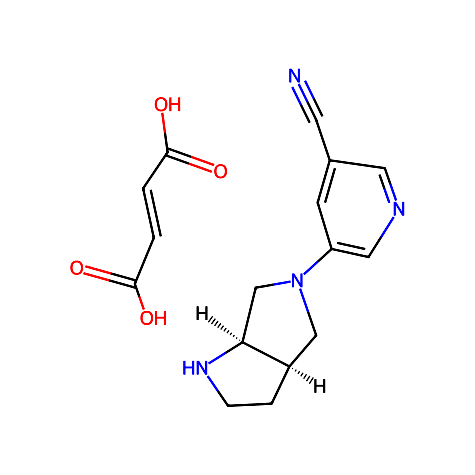 N#Cc1cncc(N2C[C@H]3CCN[C@H]3C2)c1.O=C(O)C=CC(=O)O